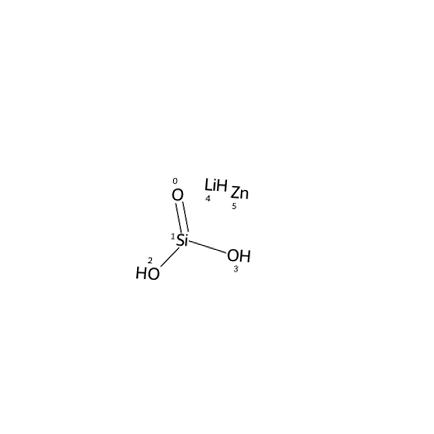 O=[Si](O)O.[LiH].[Zn]